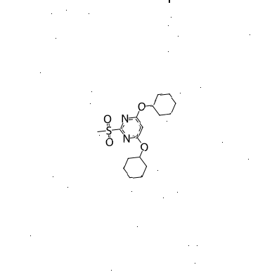 CS(=O)(=O)c1nc(OC2CCCCC2)cc(OC2CCCCC2)n1